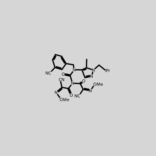 CO/N=C(/C#N)C(=O)N(C(=O)/C(C#N)=N\OC)C(=O)N(Cc1cccc(C#N)c1)c1cnn(CC(C)C)c1C